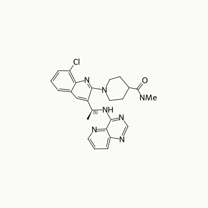 CNC(=O)C1CCN(c2nc3c(Cl)cccc3cc2[C@H](C)Nc2ncnc3cccnc23)CC1